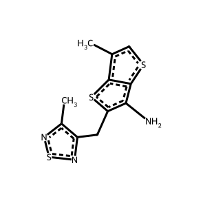 Cc1nsnc1Cc1sc2c(C)csc2c1N